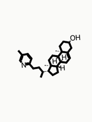 Cc1ccc(CCC(C)[C@H]2CC[C@H]3[C@@H]4CC=C5C[C@@H](O)CC[C@]5(C)[C@H]4CC[C@]23C)nc1